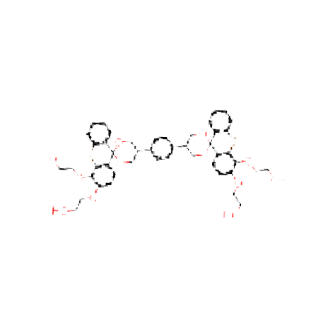 OCCOc1ccc2c(c1OCCO)Sc1ccccc1C21OCC(c2ccc(C3COC4(OC3)c3ccccc3Sc3c4ccc(OCCO)c3OCCO)cc2)CO1